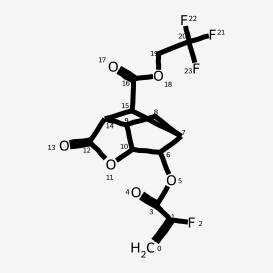 C=C(F)C(=O)OC1C2CC3C1OC(=O)C3C2C(=O)OCC(F)(F)F